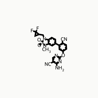 CN1c2cc(-c3cc(Oc4ncc(C#N)c(N)n4)ccc3C#N)ccc2N(CC2CC2(F)F)S1(=O)=O